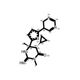 CN1C(=N)N[C@](C)(c2ccc(C3C=NC=NC3)s2)[C@H](C2CC2)C1=O